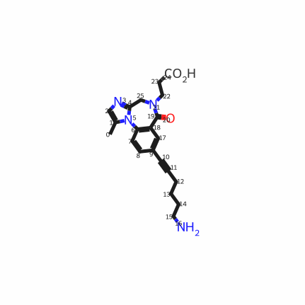 Cc1cnc2n1-c1ccc(C#CCCCCN)cc1C(=O)N(CCC(=O)O)C2